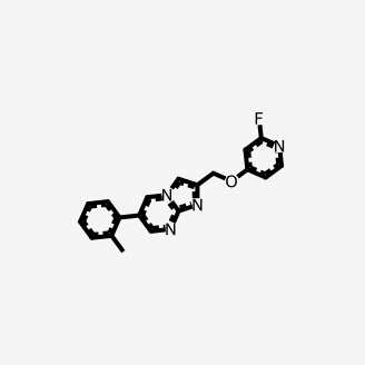 Cc1ccccc1-c1cnc2nc(COc3ccnc(F)c3)cn2c1